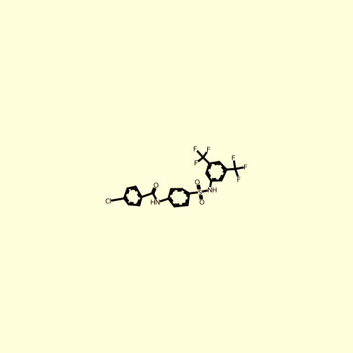 O=C(Nc1ccc(S(=O)(=O)Nc2cc(C(F)(F)F)cc(C(F)(F)F)c2)cc1)c1ccc(Cl)cc1